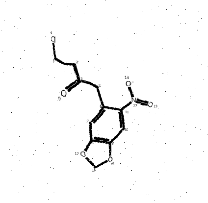 O=C(CCCl)Cc1cc2c(cc1[N+](=O)[O-])OCO2